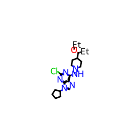 CCOC(CC)C1CCN(Nc2nc(Cl)nc3c2ncn3C2CCCC2)CC1